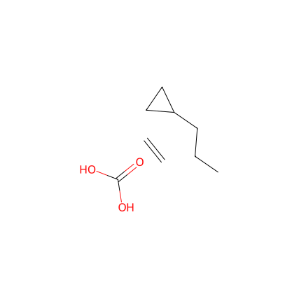 C=C.CCCC1CC1.O=C(O)O